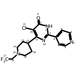 O=c1[nH]c(-c2ccncc2)nc(C2CCN(CC(F)(F)F)CC2)c1Cl